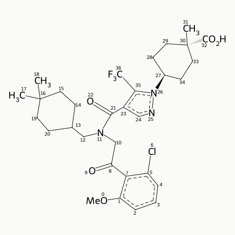 COc1cccc(Cl)c1C(=O)CN(CC1CCC(C)(C)CC1)C(=O)c1cnn([C@H]2CC[C@](C)(C(=O)O)CC2)c1C(F)(F)F